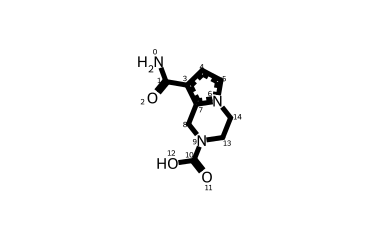 NC(=O)c1ccn2c1CN(C(=O)O)CC2